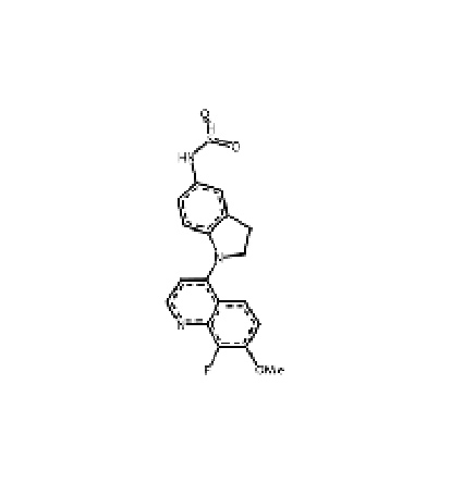 COc1ccc2c(N3CCc4cc(N[SH](=O)=O)ccc43)ccnc2c1F